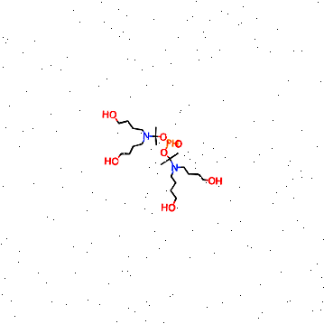 CC(C)(O[PH](=O)OC(C)(C)N(CCCCO)CCCCO)N(CCCCO)CCCCO